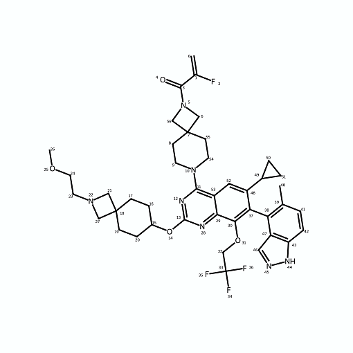 C=C(F)C(=O)N1CC2(CCN(c3nc(OC4CCC5(CC4)CN(CCOC)C5)nc4c(OCC(F)(F)F)c(-c5c(C)ccc6[nH]ncc56)c(C5CC5)cc34)CC2)C1